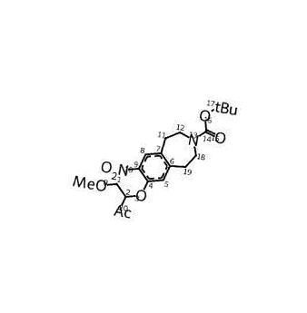 COCC(Oc1cc2c(cc1[N+](=O)[O-])CCN(C(=O)OC(C)(C)C)CC2)C(C)=O